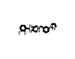 Fc1cccc(-c2nc3cnn(Cc4cccc(-n5cccn5)c4)cc-3n2)c1F